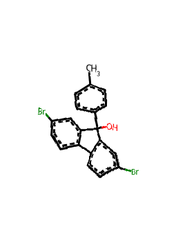 Cc1ccc(C2(O)c3cc(Br)ccc3-c3ccc(Br)cc32)cc1